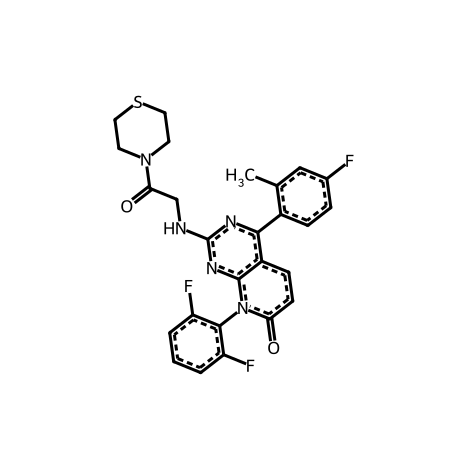 Cc1cc(F)ccc1-c1nc(NCC(=O)N2CCSCC2)nc2c1ccc(=O)n2-c1c(F)cccc1F